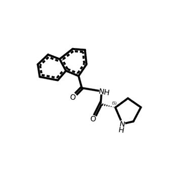 O=C(NC(=O)[C@@H]1CCCN1)c1cccc2ccccc12